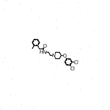 Cc1ccccc1CC(=O)NCCN1CCC(Oc2ccc(Cl)c(Cl)c2)CC1